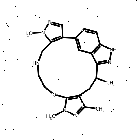 Cc1nn(C)c2c1CC(C)c1n[nH]c3ccc(cc13)-c1cnn(C)c1CNCCO2